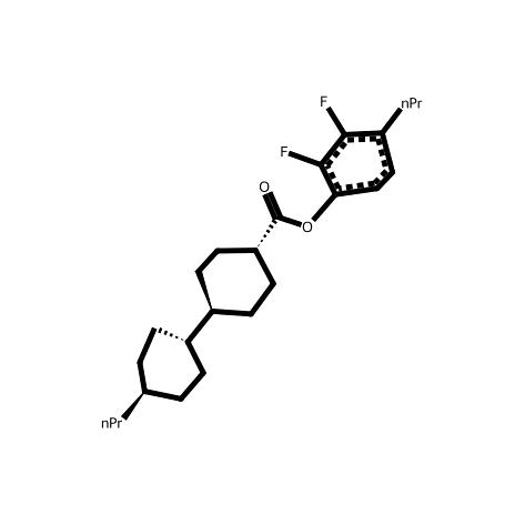 CCCc1ccc(OC(=O)[C@H]2CC[C@H]([C@H]3CC[C@H](CCC)CC3)CC2)c(F)c1F